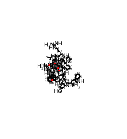 CC(C)C[C@H](NC(=O)[C@H](CCCNC(=N)N)NC(=O)[C@@H]1CCCN1C(=O)[C@@H]1CCCN1C(=O)[C@H](CCCNC(=N)N)NC(=O)[C@H](CCCNC(=N)N)NC(=O)[C@H](Cc1ccc(O)cc1)NC(=O)[C@H](CC(=O)O)NC(=O)[C@@H](N)Cc1c[nH]c2ccccc12)C(=O)N[C@@H](C)C(=O)N[C@@H](CC(N)=O)C(=O)N[C@@H](Cc1ccccc1)C(=O)O